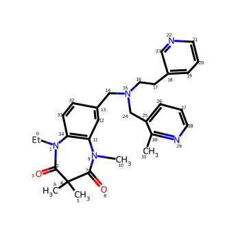 CCN1C(=O)C(C)(C)C(=O)N(C)c2cc(CN(CCc3cccnc3)Cc3cccnc3C)ccc21